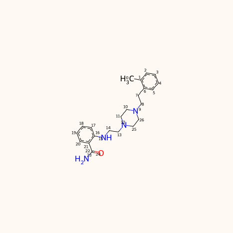 Cc1ccccc1CCN1CCN(CCNc2ccccc2C(N)=O)CC1